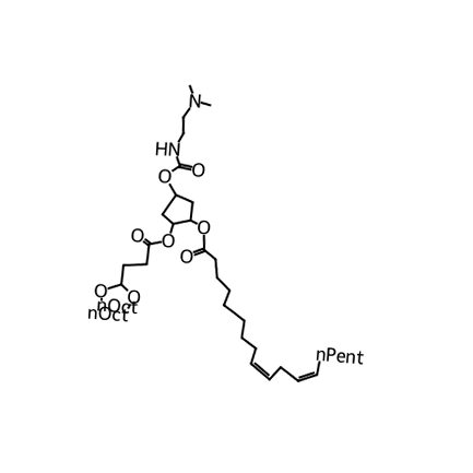 CCCCC/C=C\C/C=C\CCCCCCCC(=O)OC1CC(OC(=O)NCCN(C)C)CC1OC(=O)CCC(OCCCCCCCC)OCCCCCCCC